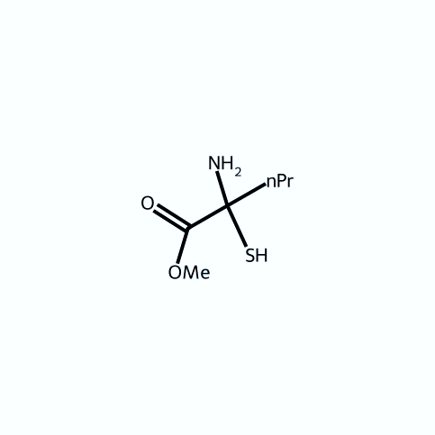 CCCC(N)(S)C(=O)OC